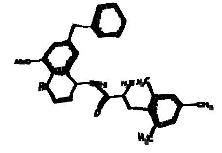 COc1cc(Cc2ccccc2)cc2c1NCCC2NC(=O)C(N)Cc1c(C)cc(C)cc1C